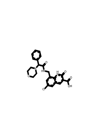 O=C(O)c1cc2cc(Cl)cc(CNC(=O)C(c3ccccc3)N3CCOCC3)c2[nH]c1=O